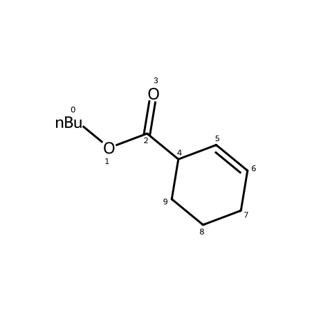 CCCCOC(=O)C1C=CCCC1